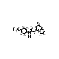 O=C(Cc1cc(F)cc2nccn12)Nc1ccc(C(F)(F)F)cc1